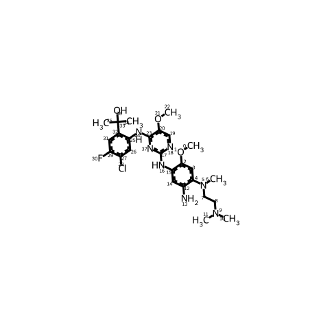 COc1cc(N(C)CCN(C)C)c(N)cc1Nc1ncc(OC)c(Nc2cc(Cl)c(F)cc2C(C)(C)O)n1